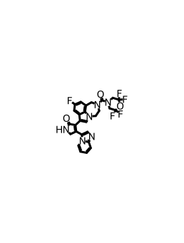 O=C1NCC(c2cnc3ccccn23)=C1c1cn2c3c(cc(F)cc13)CN(C(=O)N1CC(F)(F)OC(F)(F)C1)CC2